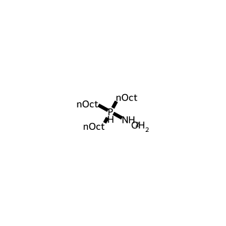 CCCCCCCC[PH](N)(CCCCCCCC)CCCCCCCC.O